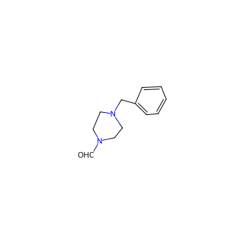 O=CN1CCN(Cc2ccccc2)CC1